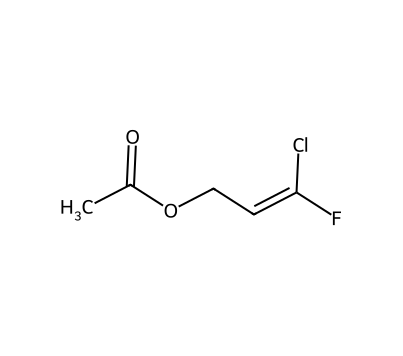 CC(=O)OCC=C(F)Cl